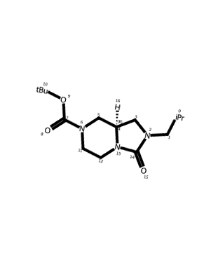 CC(C)CN1C[C@@H]2CN(C(=O)OC(C)(C)C)CCN2C1=O